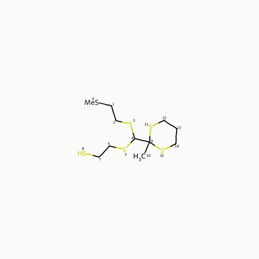 CSCCSC(SCCS)C1(C)SCCCS1